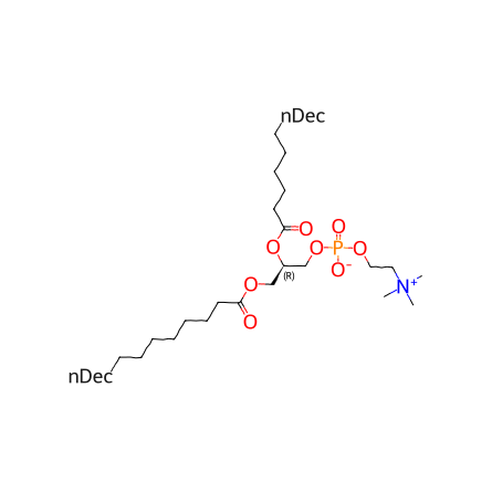 CCCCCCCCCCCCCCCCCC(=O)OC[C@H](COP(=O)([O-])OCC[N+](C)(C)C)OC(=O)CCCCCCCCCCCCCCC